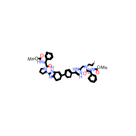 COC(=O)N[C@H](C(=O)N(CCI)CC1NC=C(C2=CC=C(C3=Cc4[nH]c([C@@H]5CCCN5C(=O)[C@H](NC(=O)OC)c5ccccc5)nc4CC3)CC2)N1)c1ccccc1